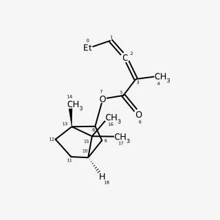 CCC=C=C(C)C(=O)OC1C[C@H]2CC[C@@]1(C)C2(C)C